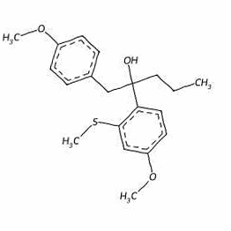 CCCC(O)(Cc1ccc(OC)cc1)c1ccc(OC)cc1SC